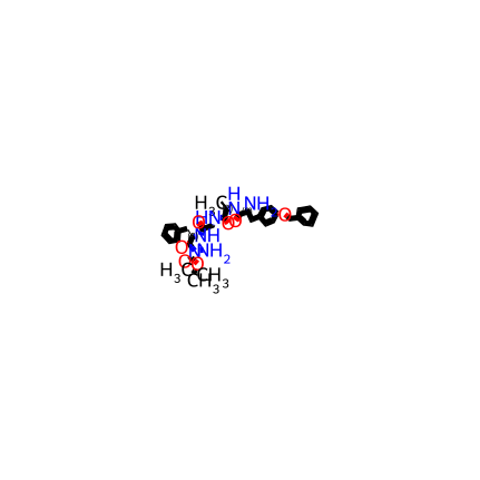 C[C@@H](NC(=O)[C@@H](N)Cc1ccc(OCc2ccccc2)cc1)C(=O)NCC(=O)N[C@@H](Cc1ccccc1)C(=O)N(N)C(=O)OC(C)(C)C